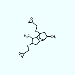 CC1CC2(OCC3CO3)CC1C1CC(OCC3CO3)C(C)C12